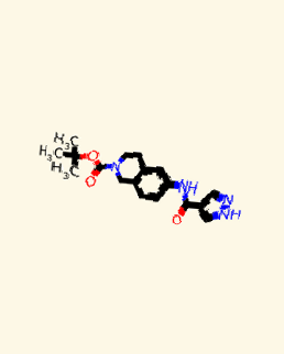 CC(C)(C)OC(=O)N1CCc2cc(NC(=O)c3cn[nH]c3)ccc2C1